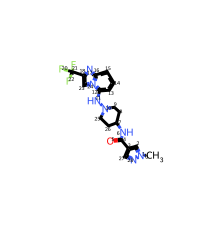 Cn1cc(C(=O)NC2CCN(Nc3cccc4nc(C(F)(F)F)cn34)CC2)cn1